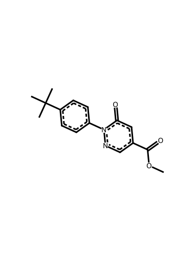 COC(=O)c1cnn(-c2ccc(C(C)(C)C)cc2)c(=O)c1